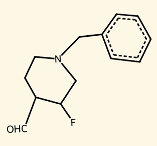 O=CC1CCN(Cc2ccccc2)CC1F